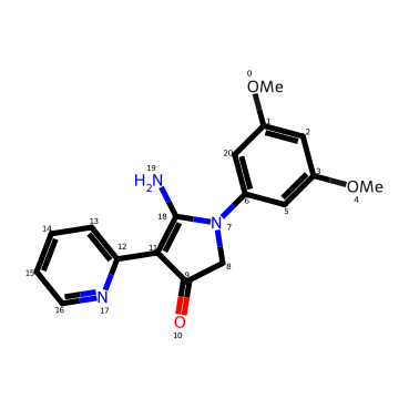 COc1cc(OC)cc(N2CC(=O)C(c3ccccn3)=C2N)c1